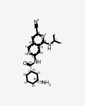 CC(C)Nc1nc(C#N)cc2cnc(NC(=O)[C@H]3CCC[C@@H](N)C3)cc12